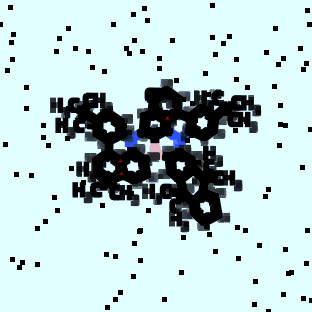 Cc1cc2c3c(c1)N(c1ccc(C(C)(C)C)cc1-c1ccccc1)c1cc4c(cc1B3c1ccc(C(C)(C)C)cc1N2c1ccc(C(C)(C)C)cc1-c1ccccc1)C(C)(C)c1ccccc1C4(C)C